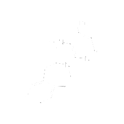 CCCCc1c(C)cnc(N2CCc3ccccc3CC2)c1[N+](=O)[O-]